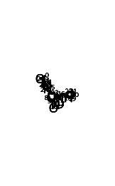 CC(=O)N1CCN(c2ccc([N+](=O)[O-])c(NCc3ccccc3)c2)CC1